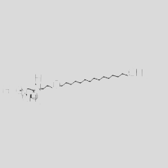 CCCCCCCCCCCCCCCCOCCCNC(=O)CN(C)C